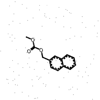 COC(=O)OCc1ccc2ccccc2c1